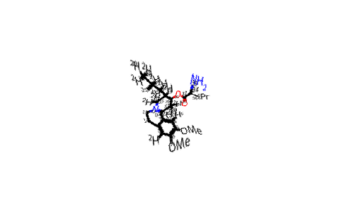 [2H]c1c2c(c([2H])c(OC)c1OC)C1([2H])N(CC2)C([2H])([2H])C([2H])(C([2H])([2H])C([2H])(C)C([2H])([2H])[2H])C(OC(=O)[C@@H](N)C(C)C)C1([2H])[2H]